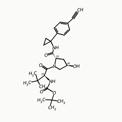 C#Cc1ccc(C2(NC(=O)[C@@H]3C[C@@H](O)CN3C(=O)[C@@H](NC(=O)OC(C)(C)C)C(C)(C)C)CC2)cc1